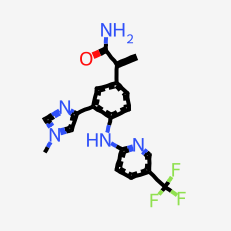 C=C(C(N)=O)c1ccc(Nc2ccc(C(F)(F)F)cn2)c(-c2cn(C)cn2)c1